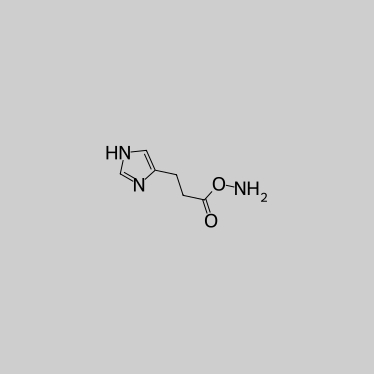 NOC(=O)CCc1c[nH]cn1